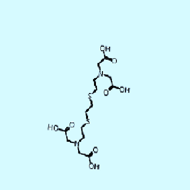 O=C(O)CN(CCSCCSCCN(CC(=O)O)CC(=O)O)CC(=O)O